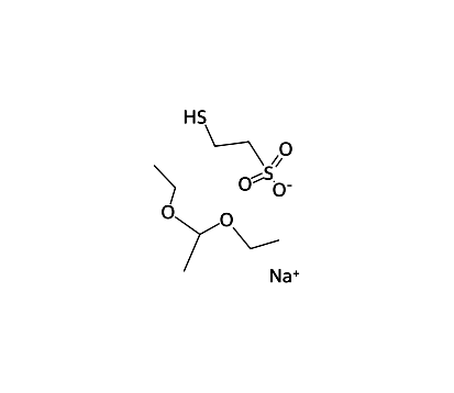 CCOC(C)OCC.O=S(=O)([O-])CCS.[Na+]